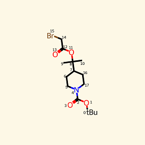 CC(C)(C)OC(=O)N1CCC(C(C)(C)OC(=O)CBr)CC1